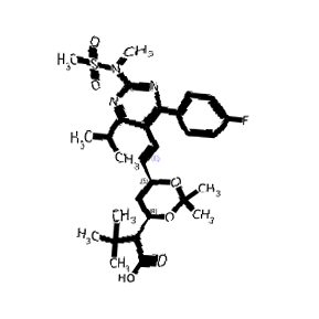 CC(C)c1nc(N(C)S(C)(=O)=O)nc(-c2ccc(F)cc2)c1/C=C/[C@@H]1C[C@H](C(C(=O)O)C(C)(C)C)OC(C)(C)O1